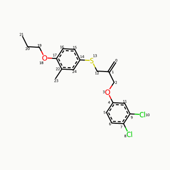 C=C(COc1ccc(Cl)c(Cl)c1)CSc1ccc(OCCC)c(C)c1